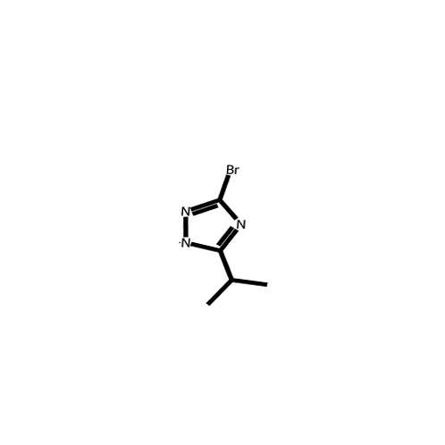 CC(C)C1=NC(Br)=N[N]1